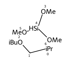 CC(C)COCC(C)C.CO[SiH](OC)OC